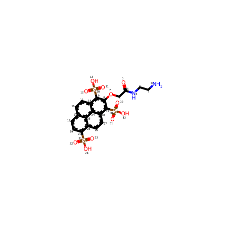 NCCNC(=O)COc1c(S(=O)(=O)O)c2ccc3ccc(S(=O)(=O)O)c4ccc(c1S(=O)(=O)O)c2c34